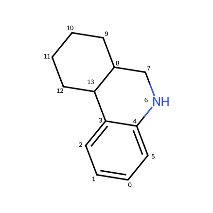 c1ccc2c(c1)NCC1CCCCC21